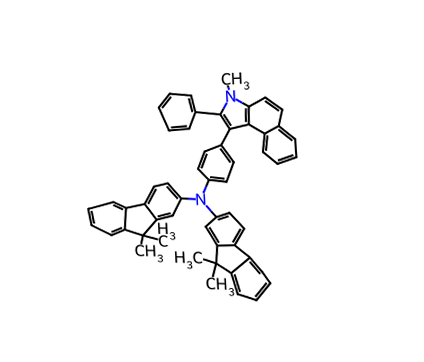 Cn1c(-c2ccccc2)c(-c2ccc(N(c3ccc4c(c3)C(C)(C)c3ccccc3-4)c3ccc4c(c3)C(C)(C)c3ccccc3-4)cc2)c2c3ccccc3ccc21